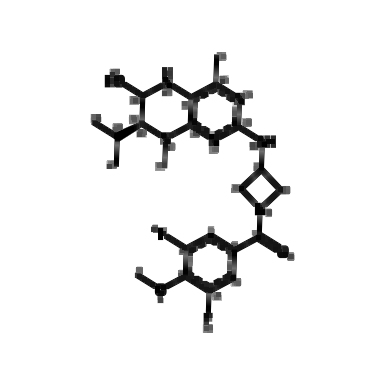 COc1c(F)cc(C(=O)N2CC(Nc3nc(C)c4c(n3)N(C)[C@@H](C(C)C)C(O)N4)C2)cc1F